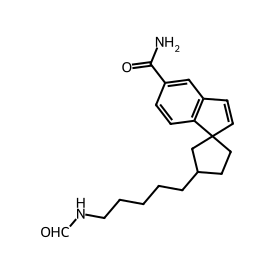 NC(=O)c1ccc2c(c1)C=CC21CCC(CCCCCNC=O)C1